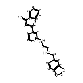 O=c1cc(-c2ccnc(NCCNCc3ccc4c(c3)OCO4)c2)oc2ccccc12